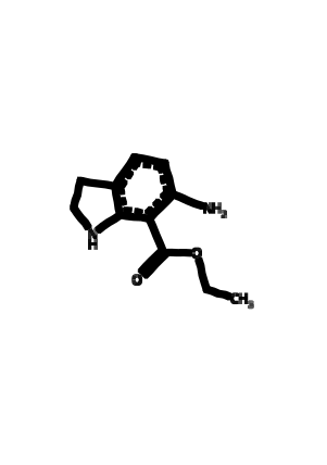 CCOC(=O)c1c(N)ccc2c1NCC2